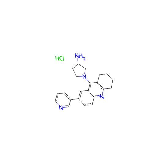 Cl.N[C@H]1CCN(c2c3c(nc4ccc(-c5cccnc5)cc24)CCCC3)C1